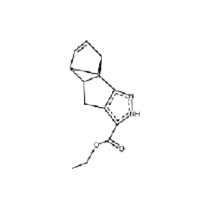 CCOC(=O)c1[nH]nc2c1CC1C3C=CC(C3)C21